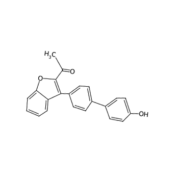 CC(=O)c1oc2ccccc2c1-c1ccc(-c2ccc(O)cc2)cc1